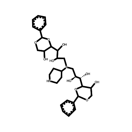 OC(CN(C[C@H](O)[C@H](O)C1OC(c2ccccc2)OCC1O)C1CCNCC1)C(O)C1OC(c2ccccc2)OCC1O